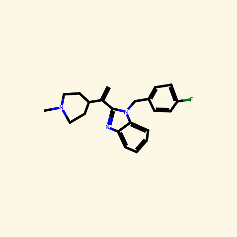 C=C(c1nc2ccccc2n1Cc1ccc(F)cc1)C1CCN(C)CC1